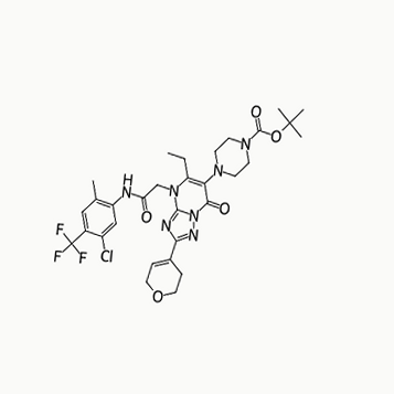 CCc1c(N2CCN(C(=O)OC(C)(C)C)CC2)c(=O)n2nc(C3=CCOCC3)nc2n1CC(=O)Nc1cc(Cl)c(C(F)(F)F)cc1C